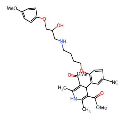 COC(=O)C1=C(C)NC(C)=C(C(=O)OC)C1c1cc([N+](=O)[O-])ccc1OCCCCNCC(O)COc1ccc(OC)cc1